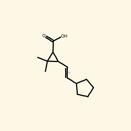 CC1(C)C(/C=C/C2CCCC2)C1C(=O)O